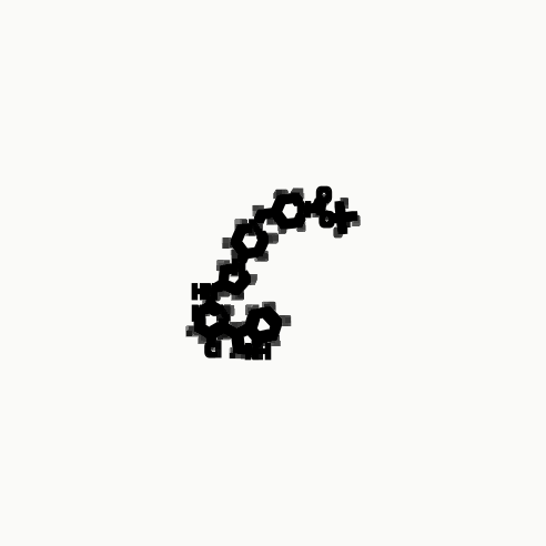 CC(C)(C)OC(=O)N1CCC(CN2CCC(N3CCC(Nc4ncc(Cl)c(-c5c[nH]c6ccccc56)n4)C3)CC2)CC1